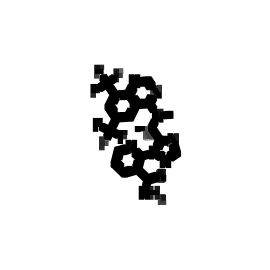 C[C@@H](c1ncnn1-c1ncccc1C(N)=S)N(C)c1ncnc2c(C(F)(F)F)cc(C(F)(F)F)cc12